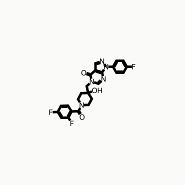 O=C(c1ccc(F)cc1F)N1CCC(O)(Cn2cnc3c(cnn3-c3ccc(F)cc3)c2=O)CC1